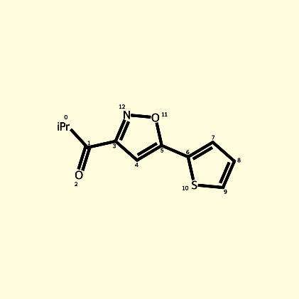 CC(C)C(=O)c1cc(-c2cccs2)on1